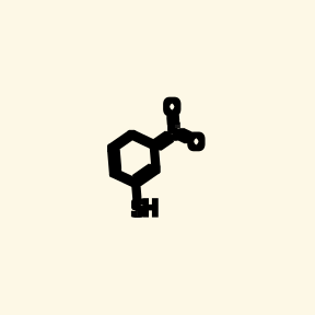 O=S(=O)=C1C=C(S)C=CC1